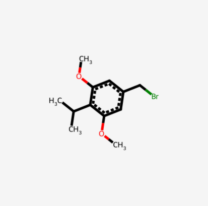 COc1cc(CBr)cc(OC)c1C(C)C